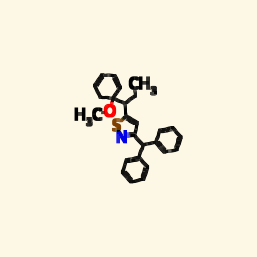 CCC(c1cc(C(c2ccccc2)c2ccccc2)ns1)C1(OC)C=CC=CC1